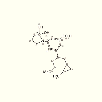 COCCN(CC1CC1C)c1cc(C(=O)O)cc(N2CCCS2(O)O)n1